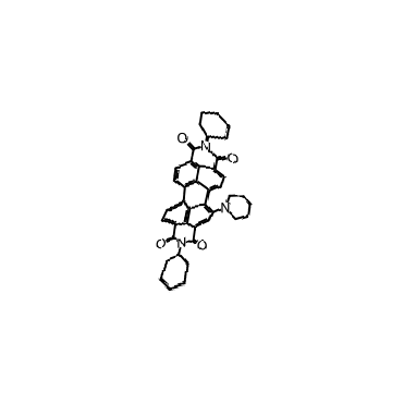 O=C1c2ccc3c4ccc5c6c(cc(N7CCCCC7)c(c7ccc(c2c37)C(=O)N1C1CCCCC1)c64)C(=O)N(C1CCCCC1)C5=O